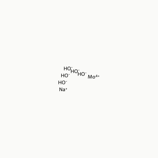 [Mo+4].[Na+].[OH-].[OH-].[OH-].[OH-].[OH-]